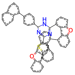 c1ccc2c(-c3ccc(C4N=C(c5ccc6c(c5)oc5ccccc56)N=C(c5cccc6oc7cccc(-c8cccc9sc%10ccccc%10c89)c7c56)N4)cc3)cccc2c1